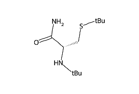 CC(C)(C)N[C@@H](CSC(C)(C)C)C(N)=O